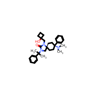 CN(C)[C@]1(c2ccccc2)CC[C@@]2(CC1)CN(C(C)(C)c1ccccc1)C(=O)N2CC1(O)CCC1